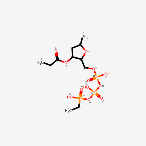 BC1CC(OC(=O)CC)C(COP(=O)(O)OP(=O)(O)OP(=O)(O)CC)O1